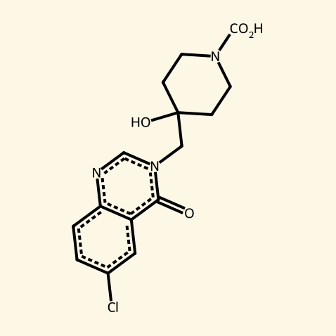 O=C(O)N1CCC(O)(Cn2cnc3ccc(Cl)cc3c2=O)CC1